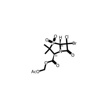 CC(=O)OCOC(=O)[C@@H]1N2C(=O)C(Cl)(Br)[C@H]2S(=O)(=O)C1(C)C